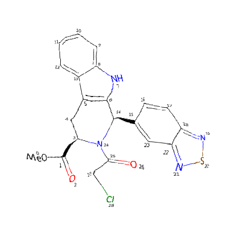 COC(=O)[C@H]1Cc2c([nH]c3ccccc23)[C@@H](c2ccc3nsnc3c2)N1C(=O)CCl